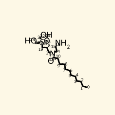 CCCCCCCCCCCC(=O)N(CCN)CCC[Si](CO)(CO)OC